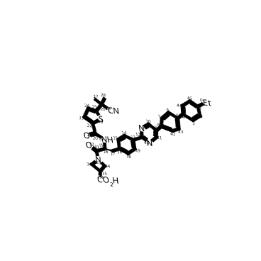 CCc1ccc(-c2ccc(-c3cnc(-c4ccc(C[C@H](NC(=O)c5ccc(C(C)(C)C#N)s5)C(=O)N5CC(C(=O)O)C5)cc4)nc3)cc2)cc1